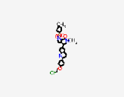 Cc1ccc(S(=O)(=O)n2ccc3c(-c4ccc5nc(-c6ccc(OCCCl)cc6)ccc5c4)cn(C)c(=O)c32)cc1